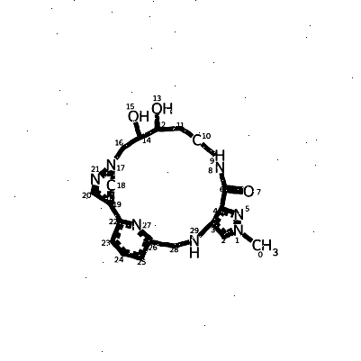 Cn1cc2c(n1)C(=O)NCCCC(O)C(O)Cn1cc(cn1)-c1cccc(n1)CN2